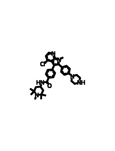 CN1C(C)(C)CC(NC(=O)c2ccc(-c3c(-c4ccc(N5CCNCC5)cc4)n(C)c4nccc(Cl)c34)cc2)CC1(C)C